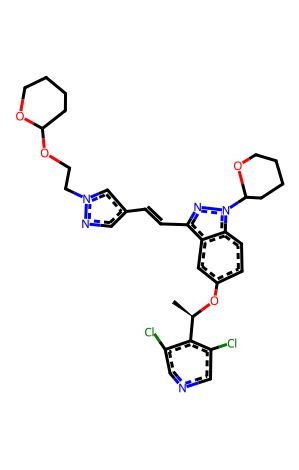 C[C@@H](Oc1ccc2c(c1)c(/C=C/c1cnn(CCOC3CCCCO3)c1)nn2C1CCCCO1)c1c(Cl)cncc1Cl